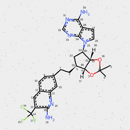 CC1(C)O[C@@H]2[C@@H](CCc3ccc4cc(C(F)(F)F)c(N)nc4c3)C[C@@H](n3ccc4c(N)ncnc43)[C@@H]2O1